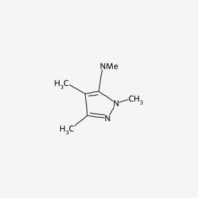 CNc1c(C)c(C)nn1C